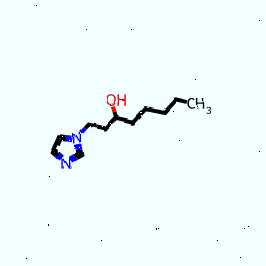 CCCCCC(O)CCn1ccnc1